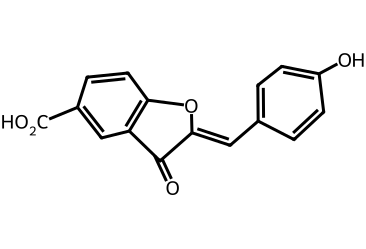 O=C(O)c1ccc2c(c1)C(=O)/C(=C/c1ccc(O)cc1)O2